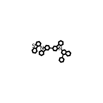 c1ccc(-c2cc(-n3c4ccccc4c4cc(-c5ccc6c(c5)c5ccccc5n6-c5cccc6sc7ccccc7c56)ccc43)cc3ccccc23)cc1